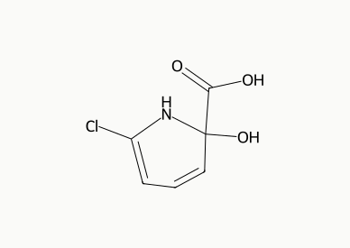 O=C(O)C1(O)C=CC=C(Cl)N1